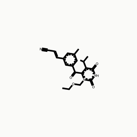 CCOCn1c(C(=O)c2cc(C)cc(/C=C/C#N)c2)c(C(C)C)c(=O)[nH]c1=O